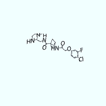 CN1CCNC1CNC(=O)C12CC(C1)C(NC(=O)COc1ccc(Cl)c(F)c1)C2